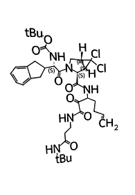 C=CCCC(NC(=O)[C@@H]1[C@@H]2[C@H](CN1C(=O)[C@@H](NC(=O)OC(C)(C)C)C1Cc3ccccc3C1)C2(Cl)Cl)C(=O)C(=O)NCCC(=O)NC(C)(C)C